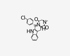 CN1CC(=O)N2[C@@H](c3ccc(Cl)cc3)c3[nH]c4ccccc4c3C[C@@H]2C1=O